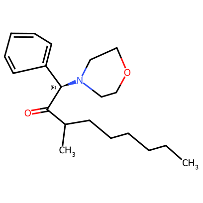 CCCCCCC(C)C(=O)[C@@H](c1ccccc1)N1CCOCC1